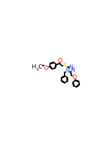 CCOc1ccc(C(=O)CSc2nnc(COc3ccccc3)n2Cc2ccccc2)cc1